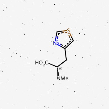 CN[C@H](Cc1cscn1)C(=O)O